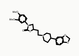 COc1ccc(N2CC(CCN3CCC(c4ccc5c(c4)OCO5)CC3)OC2=O)cc1OC